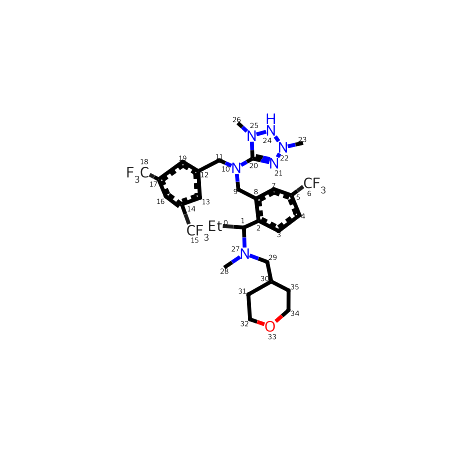 CCC(c1ccc(C(F)(F)F)cc1CN(Cc1cc(C(F)(F)F)cc(C(F)(F)F)c1)C1=NN(C)NN1C)N(C)CC1CCOCC1